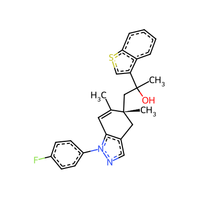 CC1=Cc2c(cnn2-c2ccc(F)cc2)C[C@@]1(C)CC(C)(O)c1csc2ccccc12